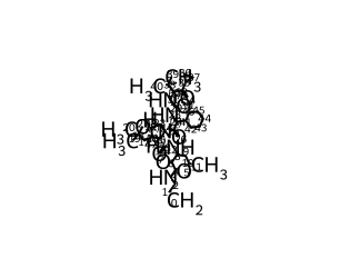 C=CCNC(=O)C(=O)C(CCC)NC(=O)[C@@H]1[C@H]2CC(C)(C)O[C@H]2CN1C(=O)[C@@H](NC(=O)N[C@H](C(=O)C1CC1)C(C)C)C1CCCCC1